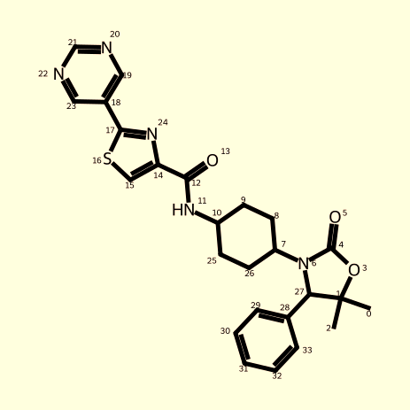 CC1(C)OC(=O)N(C2CCC(NC(=O)c3csc(-c4cncnc4)n3)CC2)C1c1ccccc1